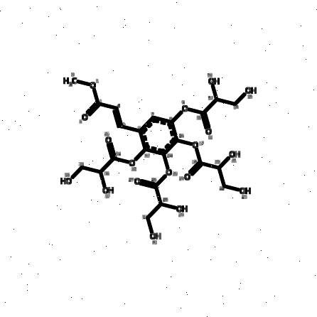 COC(=O)C=Cc1cc(OC(=O)C(O)CO)c(OC(=O)C(O)CO)c(OC(=O)C(O)CO)c1OC(=O)C(O)CO